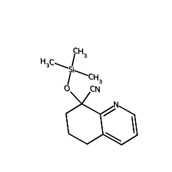 C[Si](C)(C)OC1(C#N)CCCc2cccnc21